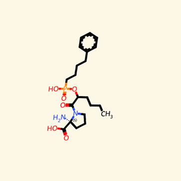 CCCCC(OP(=O)(O)CCCCc1ccccc1)C(=O)N1CCC[C@@]1(N)C(=O)O